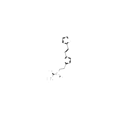 NC(=O)N(O)CCc1ccc(C=Cc2cccs2)s1